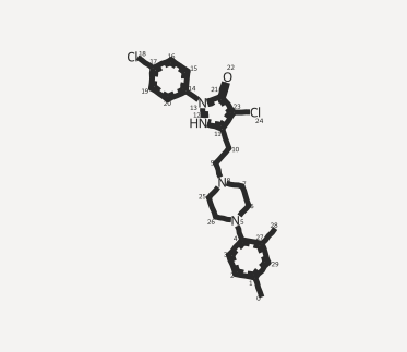 Cc1ccc(N2CCN(CCc3[nH]n(-c4ccc(Cl)cc4)c(=O)c3Cl)CC2)c(C)c1